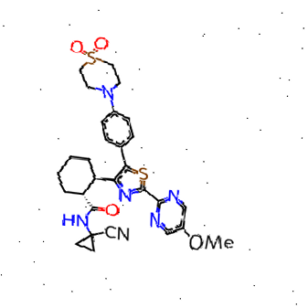 COc1cnc(-c2nc([C@@H]3CCCC[C@H]3C(=O)NC3(C#N)CC3)c(-c3ccc(N4CCS(=O)(=O)CC4)cc3)s2)nc1